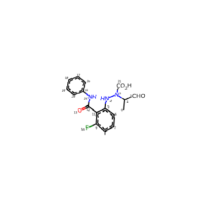 CC(C=O)N(Nc1cccc(F)c1C(=O)Nc1ccccc1)C(=O)O